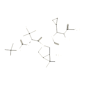 CC(C)(C)OC(=O)N[C@H](C(=O)N1C[C@H]2[C@@H]([C@H]1C(=O)NC(C1CC1)C(O)C(N)=O)C2(C)C)C(C)(C)C